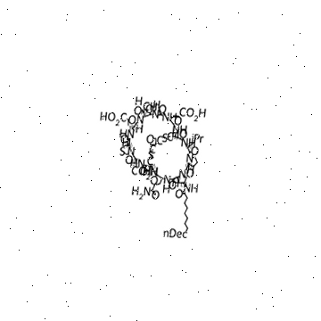 CCCCCCCCCCCCCCCCCC(=O)N[C@H]1C[C@H]2C(=O)NC(CCC(N)=O)C(=O)N[C@H]3CSCC4(COC4)CSC[C@@H](NC(=O)C(CCC(=O)O)NC(=O)NC(=O)C([C@@H](C)O)NC(=O)[C@@H](CCC(=O)O)NC(=O)[C@@H]4CSCN4C(=O)[C@@H](CC(=O)O)NC3=O)C(=O)N[C@@H](CC(C)C)C(=O)N3CCC[C@@H]3C(=O)N2C1